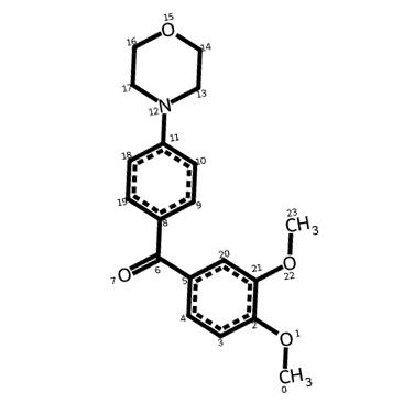 COc1ccc(C(=O)c2ccc(N3CCOCC3)cc2)cc1OC